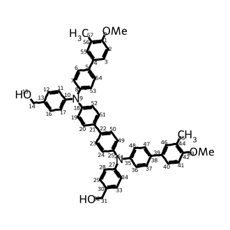 COc1ccc(-c2ccc(N(c3ccc(CO)cc3)c3ccc(-c4ccc(N(c5ccc(CO)cc5)c5ccc(-c6ccc(OC)c(C)c6)cc5)cc4)cc3)cc2)cc1C